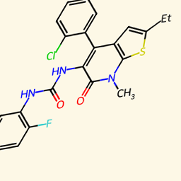 CCc1cc2c(-c3ccccc3Cl)c(NC(=O)Nc3ccc(F)cc3F)c(=O)n(C)c2s1